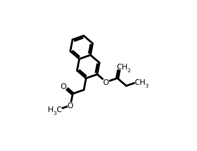 C=C(CC)Oc1cc2ccccc2cc1CC(=O)OC